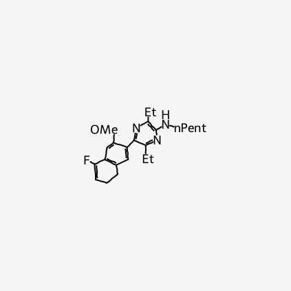 CCCCCNc1nc(CC)c(-c2cc3c(cc2OC)C(F)=CCC3)nc1CC